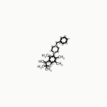 Cc1c(C)c(N2CCN(Cc3ccccc3)CC2)c(C)c2c1OC(C)(C)C2O